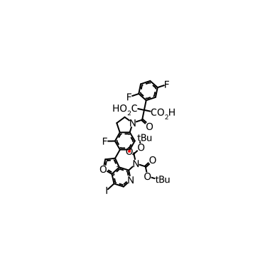 CC(C)(C)OC(=O)N(C(=O)OC(C)(C)C)c1ncc(I)c2occ(-c3ccc4c(c3F)CCN4C(=O)C(C(=O)O)(C(=O)O)c3cc(F)ccc3F)c12